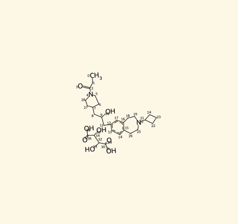 CCC(=O)N1CCC(CC(O)Cc2ccc3c(c2)CCN(C2CCC2)CC3)CC1.O=C(O)C(O)C(O)C(=O)O